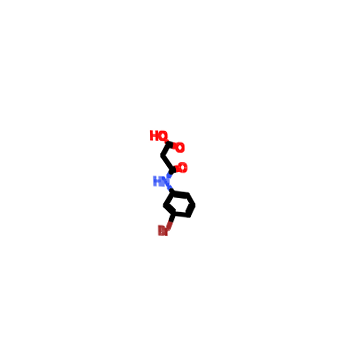 O=C(O)CC(=O)Nc1cccc(Br)c1